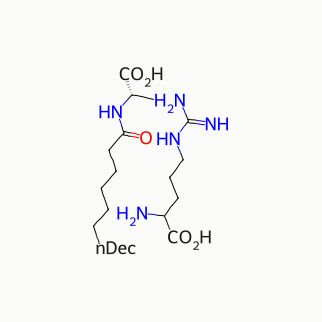 CCCCCCCCCCCCCCCC(=O)N[C@@H](C)C(=O)O.N=C(N)NCCCC(N)C(=O)O